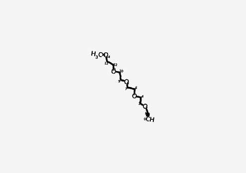 C#COCCOCCOCCOCCOC